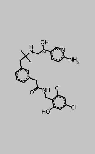 CC(C)(Cc1cccc(CC(=O)NCc2c(O)cc(Cl)cc2Cl)c1)NC[C@@H](O)c1ccc(N)nc1